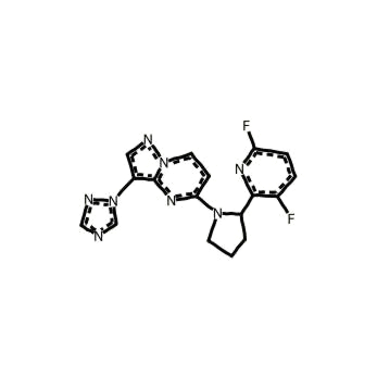 Fc1ccc(F)c(C2CCCN2c2ccn3ncc(-n4cncn4)c3n2)n1